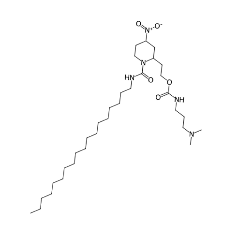 CCCCCCCCCCCCCCCCCCNC(=O)N1CCC([N+](=O)[O-])CC1CCOC(=O)NCCCN(C)C